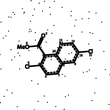 COC(=O)c1c(Cl)ccc2cc(Cl)cnc12